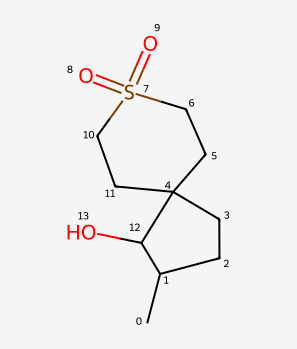 CC1CCC2(CCS(=O)(=O)CC2)C1O